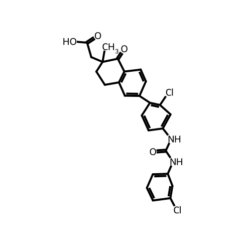 CC1(CC(=O)O)CCc2cc(-c3ccc(NC(=O)Nc4cccc(Cl)c4)cc3Cl)ccc2C1=O